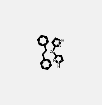 c1c[c]([Zr][c]2cc[nH]n2)n[nH]1.c1ccc(CCc2ccccc2)cc1